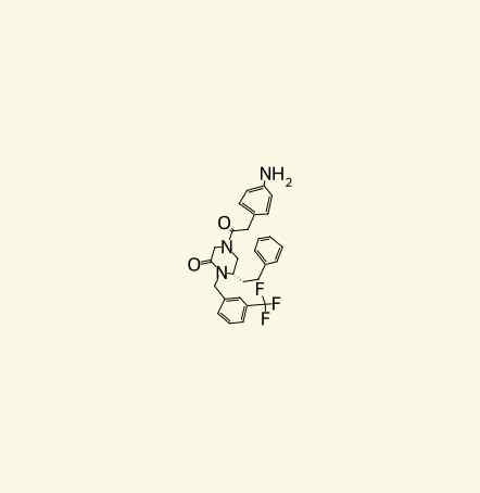 Nc1ccc(CC(=O)N2CC(=O)N(Cc3cccc(C(F)(F)F)c3)[C@@H](CCc3ccccc3)C2)cc1